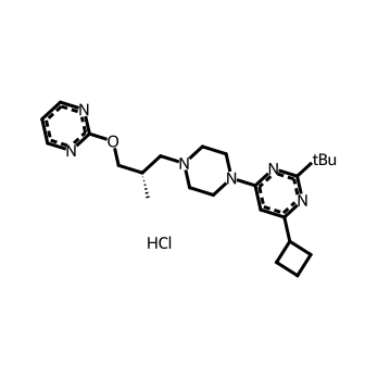 C[C@H](COc1ncccn1)CN1CCN(c2cc(C3CCC3)nc(C(C)(C)C)n2)CC1.Cl